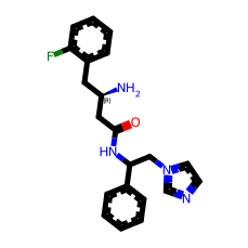 N[C@@H](CC(=O)NC(Cn1ccnc1)c1ccccc1)Cc1ccccc1F